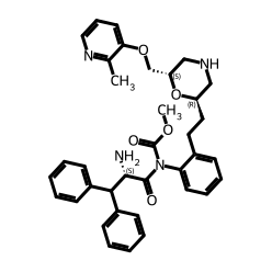 COC(=O)N(C(=O)[C@@H](N)C(c1ccccc1)c1ccccc1)c1ccccc1CC[C@@H]1CNC[C@@H](COc2cccnc2C)O1